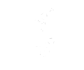 CC1(c2ccc(Cl)cc2F)Oc2cccc(C3CCN(Cc4nc5cc(C#N)c(F)cc5n4C[C@@H]4CCO4)CC3)c2O1